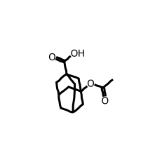 CC(=O)OC12CC3CC(C1)CC(C(=O)O)(C3)C2